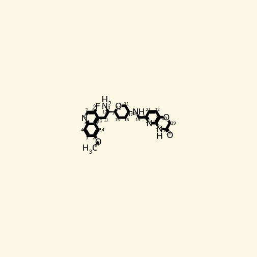 COc1ccc2ncc(F)c(CC(N)[C@@H]3CC[C@@H](NCc4ccc5c(n4)NC(=O)CO5)CO3)c2c1